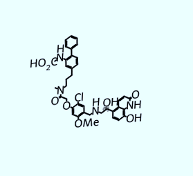 COc1cc(OCC(=O)N(C)CCCc2ccc(-c3ccccc3)c(NC(=O)O)c2)c(Cl)cc1CNC[C@H](O)c1ccc(O)c2[nH]c(=O)ccc12